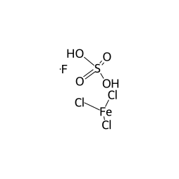 O=S(=O)(O)O.[Cl][Fe]([Cl])[Cl].[F]